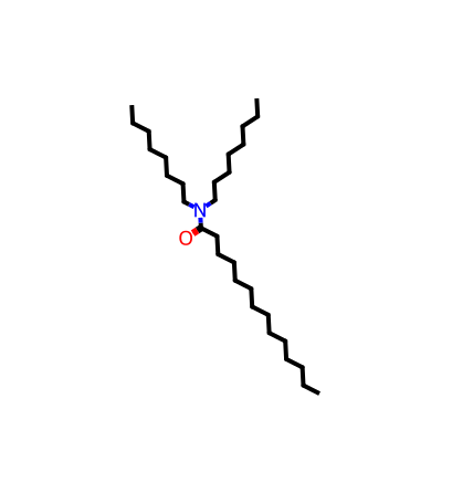 CCCCCCCCCCCCCC(=O)N(CCCCCCCC)CCCCCCCC